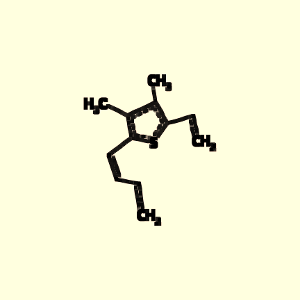 C=C/C=C\c1sc(C=C)c(C)c1C